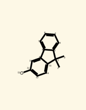 CC1(C)c2ccccc2-c2cc([O])ccc21